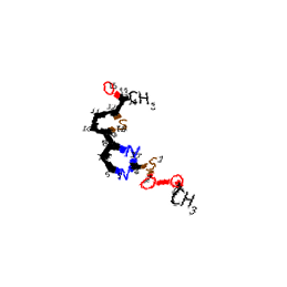 COOSc1nccc(-c2ccc(C(C)=O)s2)n1